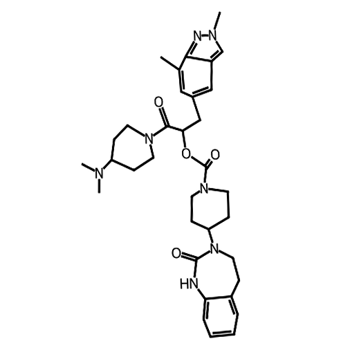 Cc1cc(CC(OC(=O)N2CCC(N3CCc4ccccc4NC3=O)CC2)C(=O)N2CCC(N(C)C)CC2)cc2cn(C)nc12